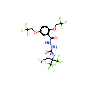 CCC(NC(=O)NNC(=O)c1cc(OCC(F)(F)F)ccc1OCC(F)(F)F)(C(F)(F)F)C(F)(F)F